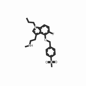 CCCn1cc(CCNC)c2c(OCc3ccc(S(C)(=O)=O)cc3)c(F)ccc21